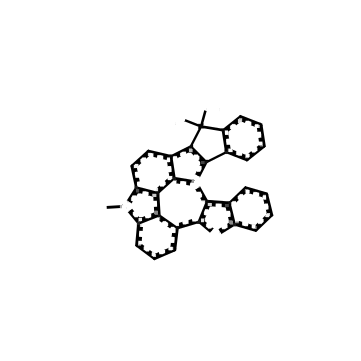 Cn1c2cccc3c4oc5ccccc5c4n4c5c(c6ccc1c(c32)c64)C(C)(C)c1ccccc1-5